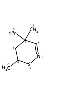 CCCC1(C)C=NSC(C)C1